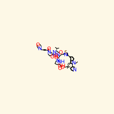 CCn1c(-c2cccnc2)c2c3cc(ccc31)-c1csc(n1)C[C@H](NC(=O)[C@H](C(C)C)N(C)C(=O)[C@@]1(O)CCN(C(=O)C#CCN3CCOCC3)C1)C(=O)N1CCC[C@@](O)(N1)C(=O)OCC(C)(C)C2